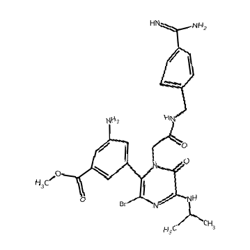 COC(=O)c1cc(N)cc(-c2c(Br)nc(NC(C)C)c(=O)n2CC(=O)NCc2ccc(C(=N)N)cc2)c1